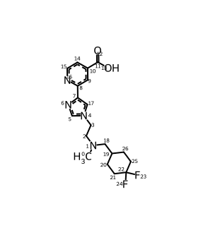 CN(CCn1cnc(-c2cc(C(=O)O)ccn2)c1)CC1CCC(F)(F)CC1